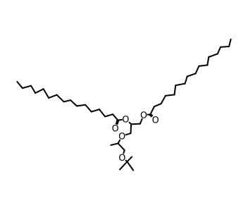 CCCCCCCCCCCCCCCC(=O)OCC(COC(C)COC(C)(C)C)OC(=O)CCCCCCCCCCCCCCC